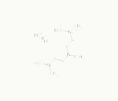 CN(C)CCN(C)CCN(C)C.I.I.I